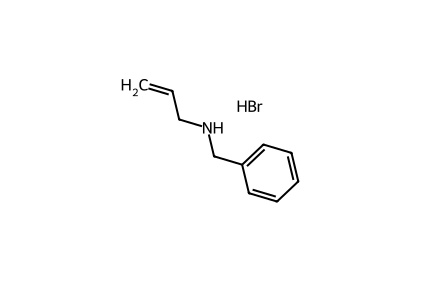 Br.C=CCNCc1ccccc1